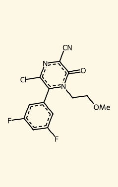 COCCn1c(-c2cc(F)cc(F)c2)c(Cl)nc(C#N)c1=O